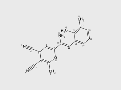 CC1=C(C#N)C(C#N)C=C(C(N)=Cc2cccc(C)c2C)O1